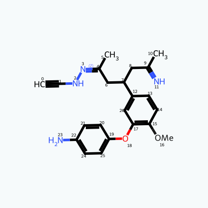 C#CN/N=C(/C)CC(CC(C)=N)c1ccc(OC)c(Oc2ccc(N)cc2)c1